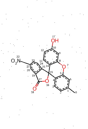 Cc1ccc2c(c1)Oc1cc(O)ccc1C21OC(=O)c2cc([N+](=O)[O-])ccc21